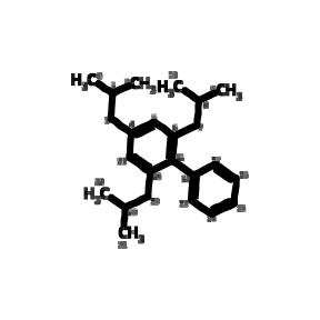 CC(C)Cc1cc(CC(C)C)c(-c2ccccc2)c(CC(C)C)c1